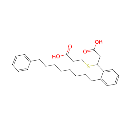 O=C(O)CCSC(CC(=O)O)c1ccccc1CCCCCCCCc1ccccc1